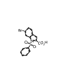 O=C(O)c1cc2ccc(Br)cc2n1S(=O)(=O)c1ccccc1